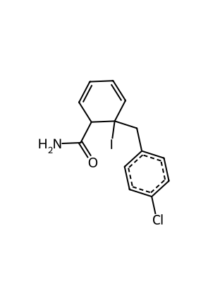 NC(=O)C1C=CC=CC1(I)Cc1ccc(Cl)cc1